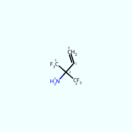 C=CC(N)(C(F)(F)F)C(F)(F)F